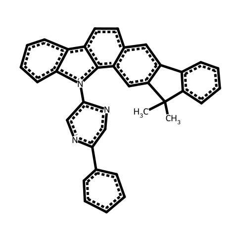 CC1(C)c2ccccc2-c2cc3ccc4c5ccccc5n(-c5cnc(-c6ccccc6)cn5)c4c3cc21